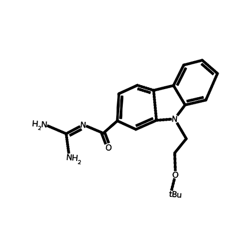 CC(C)(C)OCCn1c2ccccc2c2ccc(C(=O)N=C(N)N)cc21